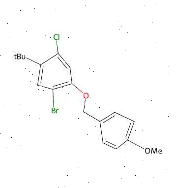 COc1ccc(COc2cc(Cl)c(C(C)(C)C)cc2Br)cc1